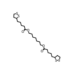 O=C(CCCCC1CCSS1)OCCCCCCCOC(=O)CCCCC1CCSS1